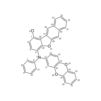 Clc1ccc(N(c2ccccc2)c2ccc3c(c2)Oc2ccccc2O3)c2oc3cc4ccccc4cc3c12